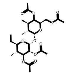 CC[C@H]1O[C@H](O[C@H]2O[C@H](CSC(C)=O)C(OC(C)=O)[C@H](C)[C@H]2C)[C@H](OC(C)=O)[C@@H](OC(C)=O)[C@@H]1C